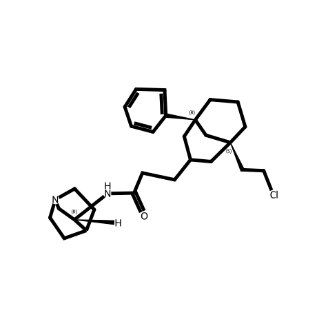 O=C(CCC1C[C@@]2(CCCl)CCC[C@@](c3ccccc3)(C1)C2)N[C@H]1CN2CCC1CC2